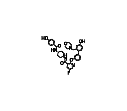 O=C(N[C@H]1CC[C@H](NC(=O)c2cc(F)cnc2Oc2cccc(-c3ccc(O)cc3CN3CCOCC3)c2)CC1)c1ccc(O)cc1